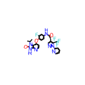 CC(C)n1c(=O)[nH]c2nccc(Oc3ccc(NC4OC4c4cnn(-c5ccccn5)c4C(F)(F)F)cc3F)c21